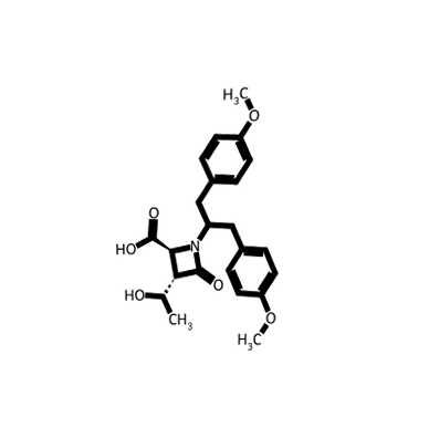 COc1ccc(CC(Cc2ccc(OC)cc2)N2C(=O)[C@H](C(C)O)[C@H]2C(=O)O)cc1